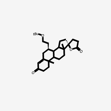 CC(C)(C)OCC[C@@H]1CC2=CC(=O)CCC2(C)C2CCC3(C)C(CC[C@@]34CCC(=O)O4)C21